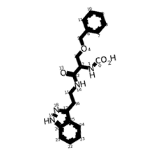 O=C(O)NC(COCc1ccccc1)C(=O)NCCc1n[nH]c2ccccc12